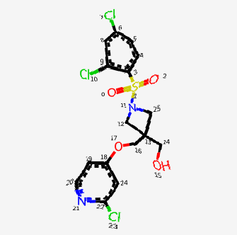 O=S(=O)(c1ccc(Cl)cc1Cl)N1CC(CO)(COc2ccnc(Cl)c2)C1